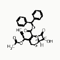 C#CC(OC(C)=O)C1=C(C(=O)OC(c2ccccc2)c2ccccc2)N2C(=O)[C@H](O)[C@H]2SC1